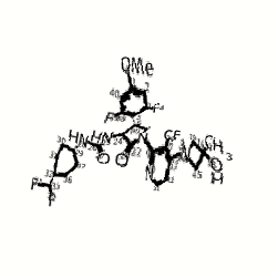 COc1cc(F)c([C@@H]2CN(c3nccc(N4CC(C)(O)C4)c3C(F)(F)F)C(=O)C2NC(=O)N[C@H]2CC[C@H](C(F)F)CC2)c(F)c1